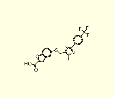 Cc1nc(-c2ccc(C(F)(F)F)cc2)sc1CSc1ccc2oc(C(=O)O)cc2c1